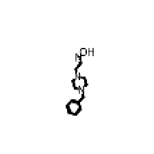 ON=CCN1CCN(Cc2ccccc2)CC1